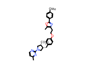 COc1ccc(-c2nc(CCOc3ccc(C[C@@H]4CN(c5nccc(C)n5)C[C@@H]4C(=O)O)cc3)c(C)o2)cc1